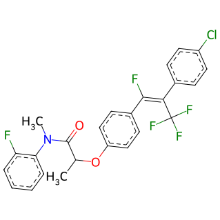 CC(Oc1ccc(C(F)=C(c2ccc(Cl)cc2)C(F)(F)F)cc1)C(=O)N(C)c1ccccc1F